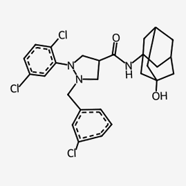 O=C(NC12CC3CC(CC(O)(C3)C1)C2)C1CN(Cc2cccc(Cl)c2)N(c2cc(Cl)ccc2Cl)C1